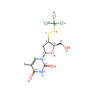 Cc1cn([C@H]2C[C@@H](SSC(Cl)(Cl)Cl)[C@@H](CO)O2)c(=O)[nH]c1=O